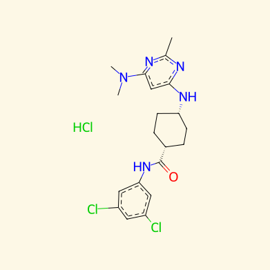 Cc1nc(N[C@H]2CC[C@@H](C(=O)Nc3cc(Cl)cc(Cl)c3)CC2)cc(N(C)C)n1.Cl